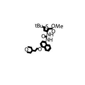 COC(=O)c1sc(C(C)(C)C)cc1NC(=O)Nc1ccc(OCCC2CCOCC2)c2ccccc12